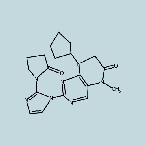 CN1C(=O)CN(C2CCCC2)c2nc(-n3ccnc3N3CCCC3=O)ncc21